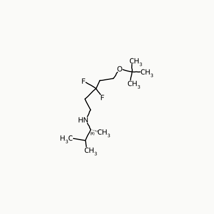 CC(C)[C@@H](C)NCCC(F)(F)CCOC(C)(C)C